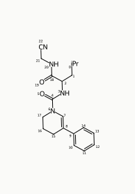 CC(C)CC(NC(=O)N1C=C(c2ccccc2)CCC1)C(=O)NCC#N